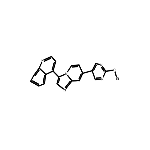 CCOc1ncc(-c2ccn3c(-c4ccnc5ccccc45)cnc3c2)cn1